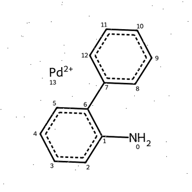 Nc1ccccc1-c1ccccc1.[Pd+2]